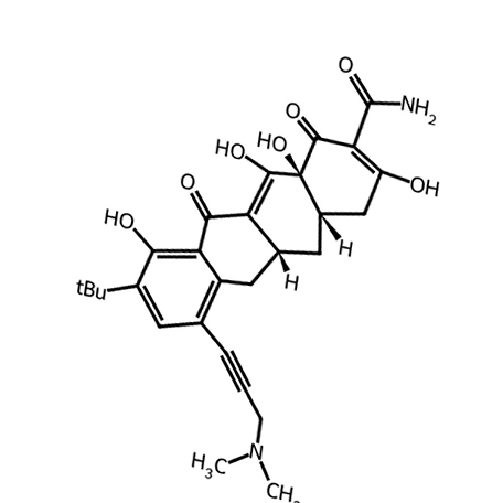 CN(C)CC#Cc1cc(C(C)(C)C)c(O)c2c1C[C@H]1C[C@H]3CC(O)=C(C(N)=O)C(=O)[C@@]3(O)C(O)=C1C2=O